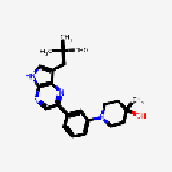 CC(C)(C=O)Cc1c[nH]c2ncc(-c3cccc(N4CCC(C)(O)CC4)c3)nc12